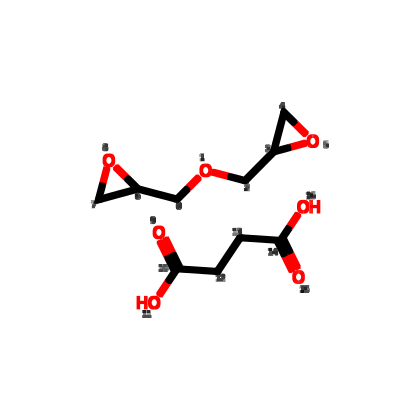 C(OCC1CO1)C1CO1.O=C(O)CCC(=O)O